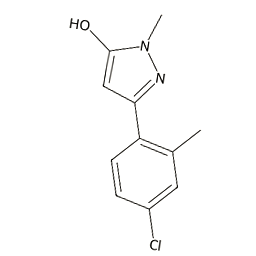 Cc1cc(Cl)ccc1-c1cc(O)n(C)n1